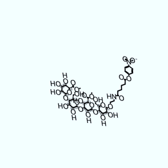 COC(=O)[C@H]1O[C@@H](O[C@H]2[C@H](O)[C@@H](O)[C@H](O[C@@H]3[C@@H](O)[C@H](O[C@H]4[C@H](O)[C@@H](O)[C@H](OCCNC(=O)CCCCC(=O)Oc5ccc([N+](=O)[O-])cc5)O[C@@H]4CO)O[C@H](C(=O)OC)[C@H]3O)O[C@@H]2CO)[C@H](O)[C@@H](O)[C@@H]1O